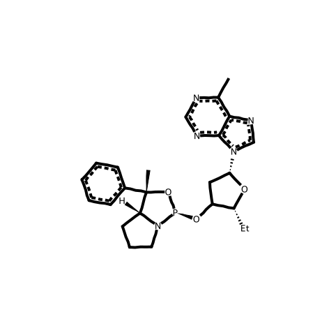 CC[C@H]1O[C@@H](n2cnc3c(C)ncnc32)CC1O[P@]1O[C@@](C)(c2ccccc2)[C@H]2CCCN21